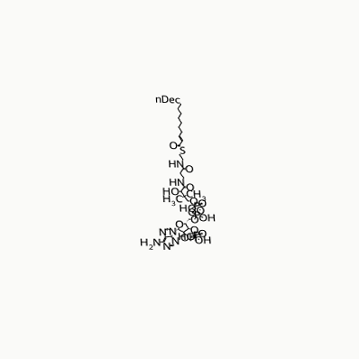 CCCCCCCCCCCCCCCCCC=CC(=O)SCCNC(=O)CCNC(=O)[C@H](O)C(C)(C)COP(=O)(O)OP(=O)(O)OC[C@H]1O[C@@H](n2cnc3c(N)ncnc32)[C@H](O)[C@@H]1OP(=O)(O)O